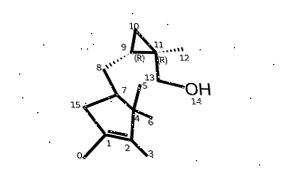 CC1=C(C)C(C)(C)C(C[C@@H]2C[C@@]2(C)CO)C1